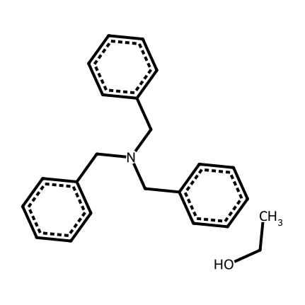 CCO.c1ccc(CN(Cc2ccccc2)Cc2ccccc2)cc1